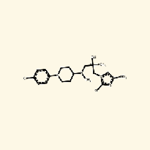 CN(C[C@](C)(O)Cn1cc([N+](=O)[O-])nc1Cl)C1CCN(c2ccc(Cl)cc2)CC1